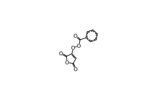 O=C1C=C(OOC(=O)c2ccccc2)C(=O)O1